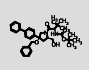 CC(C)(C)OC(=O)N[C@H](C(=O)N1C[C@](OCc2ccccc2)(c2ccc(-c3ccccc3)cc2)C[C@@H]1CO)C(C)(C)C